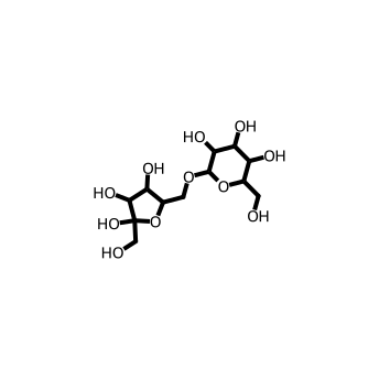 OCC1OC(OCC2OC(O)(CO)C(O)C2O)C(O)C(O)C1O